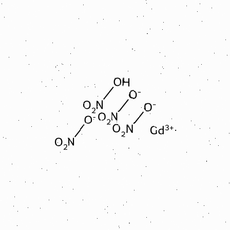 O=[N+]([O-])O.O=[N+]([O-])[O-].O=[N+]([O-])[O-].O=[N+]([O-])[O-].[Gd+3]